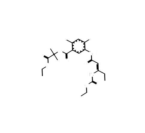 CCOC(=O)N/C(=C\C(=O)Nc1cc(C(=O)OC(C)(C)C(=O)OCC)c(Cl)cc1F)CC